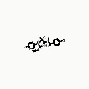 CC(Cl)(Cl)C(NC(=O)c1ccc(Cl)cc1)N/C(=N/C#N)Nc1ccc(F)nc1